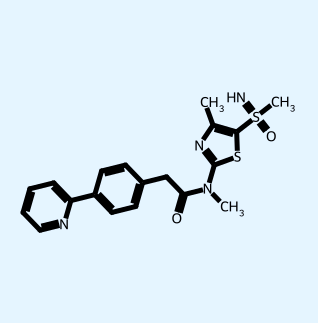 Cc1nc(N(C)C(=O)Cc2ccc(-c3ccccn3)cc2)sc1S(C)(=N)=O